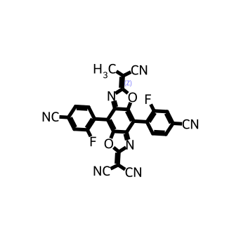 C/C(C#N)=c1\nc2c(-c3ccc(C#N)cc3F)c3oc(=C(C#N)C#N)nc3c(-c3ccc(C#N)cc3F)c2o1